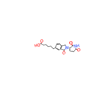 O=C(O)CCCCCc1ccc2c(c1)C(=O)N(C1CCC(=O)NC1=O)C2